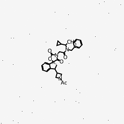 CC(=O)N1CC(C2C[C@@]3(OC(=O)N(CC(=O)N(Cc4ccccc4)C(C)C4CC4)C3=O)c3ccccc32)C1